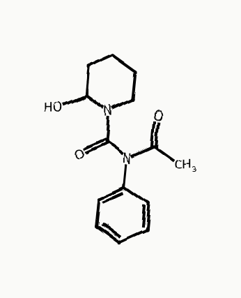 CC(=O)N(C(=O)N1CCCCC1O)c1ccccc1